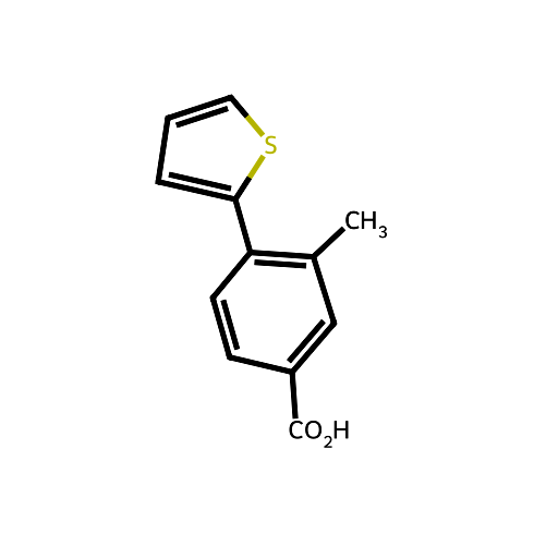 Cc1cc(C(=O)O)ccc1-c1cccs1